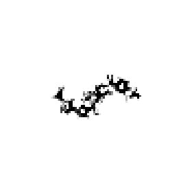 O=C(c1ccc(OC(F)F)cc1)N1CCC(O)(Cn2cnc3c(cnn3-c3cnn(C4CC4)c3)c2=O)CC1